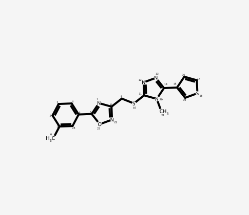 Cc1cccc(-c2nc(CSc3nnc(-c4ccsc4)n3C)no2)c1